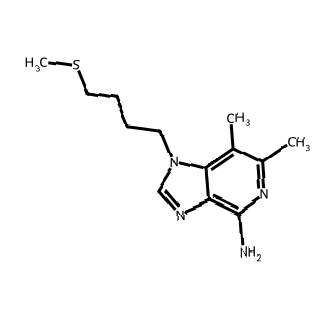 CSCCCCn1cnc2c(N)nc(C)c(C)c21